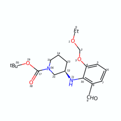 CCOCOc1c[c]cc(C=O)c1N[C@@H]1CCCN(C(=O)OC(C)(C)C)C1